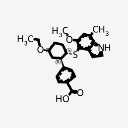 CCO[C@H]1CC[C@H](Sc2c(OC)cc(C)c3[nH]ccc23)[C@@H](c2ccc(C(=O)O)cc2)C1